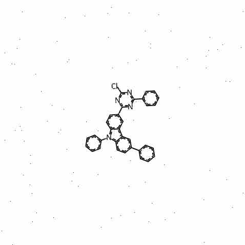 Clc1nc(-c2ccccc2)nc(-c2ccc3c(c2)c2cc(-c4ccccc4)ccc2n3-c2ccccc2)n1